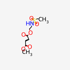 CCS(=O)(=O)NCCOC(=O)/C=C/C(=O)OC